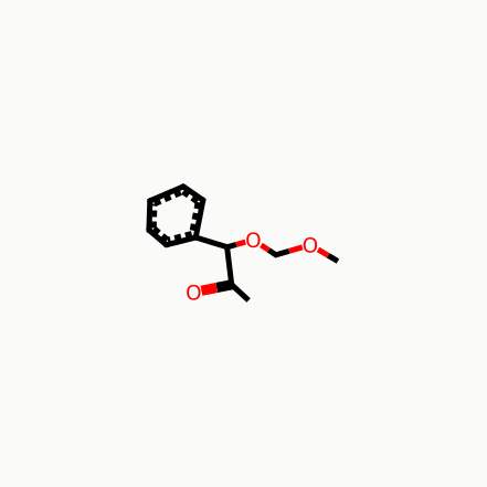 COCOC(C(C)=O)c1ccccc1